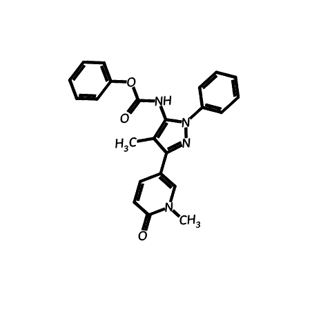 Cc1c(-c2ccc(=O)n(C)c2)nn(-c2ccccc2)c1NC(=O)Oc1ccccc1